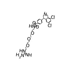 CN1Cc2c(Cl)cc(Cl)cc2C(c2ccc(S(=O)(=O)NCCOCCOCCOCCNC(=N)N)cc2)C1